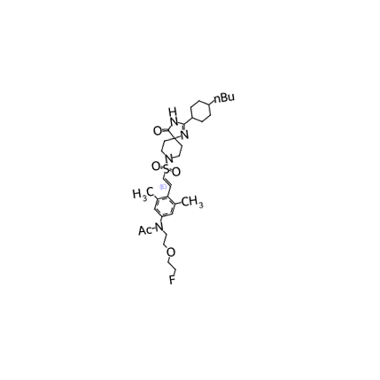 CCCCC1CCC(C2=NC3(CCN(S(=O)(=O)/C=C/c4c(C)cc(N(CCOCCF)C(C)=O)cc4C)CC3)C(=O)N2)CC1